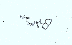 CNC[C@@H]1C[C@H]1NC(=O)Nc1cccc2cnccc12